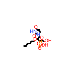 CCCCCCOC1C(O[PH](=O)O)C(CO)OC1n1ccc(=O)[nH]c1=O